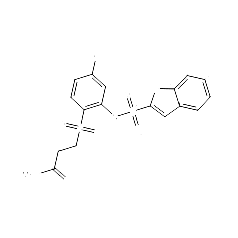 COC(=O)CCS(=O)(=O)c1ccc(Cl)cc1NS(=O)(=O)c1cc2ccccc2o1